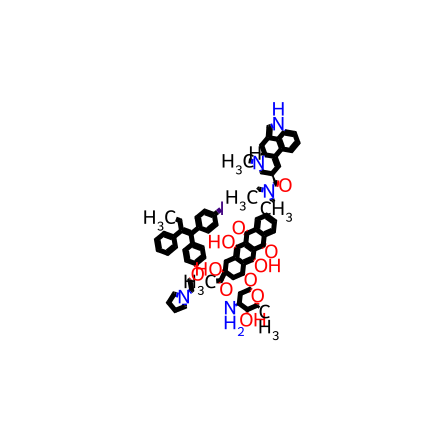 CC(=O)[C@]1(O)Cc2c(O)c3c(c(O)c2[C@@H](O[C@H]2C[C@H](N)[C@H](O)[C@H](C)O2)C1)C(=O)c1ccccc1C3=O.CC/C(=C(\c1ccc(I)cc1)c1ccc(OCCN2CCCC2)cc1)c1ccccc1.CCN(CC)C(=O)[C@@H]1C=C2c3cccc4[nH]cc(c34)C[C@H]2N(C)C1